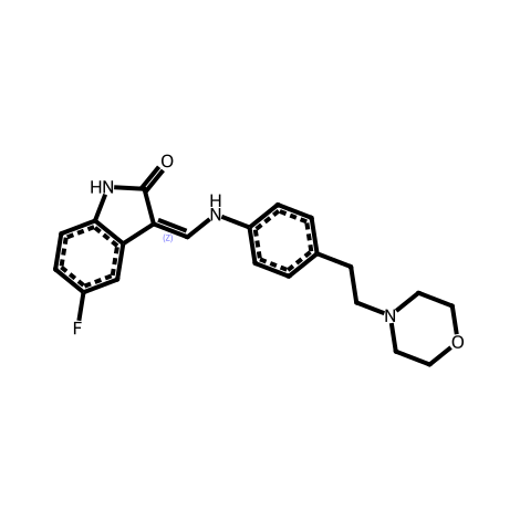 O=C1Nc2ccc(F)cc2/C1=C/Nc1ccc(CCN2CCOCC2)cc1